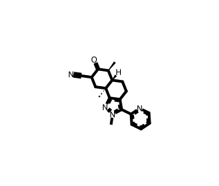 C[C@@H]1C(=O)C(C#N)C[C@]2(C)c3nn(C)c(-c4ccccn4)c3CC[C@@H]12